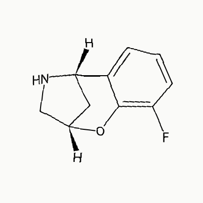 Fc1cccc2c1O[C@@H]1CN[C@H]2C1